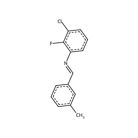 Cc1cccc(/C=N/c2cccc(Cl)c2F)c1